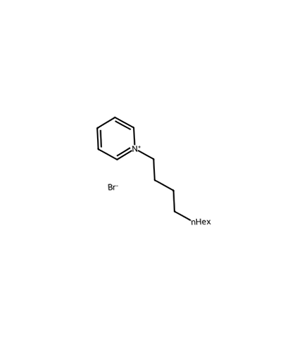 CCCCCCCCCC[n+]1ccccc1.[Br-]